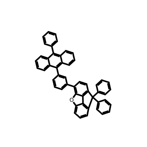 c1ccc(-c2c3ccccc3c(-c3cccc(-c4ccc5c6c4oc4cccc(c46)C5(c4ccccc4)c4ccccc4)c3)c3ccccc23)cc1